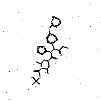 CC1CN(C(=O)C(c2cccs2)N(C(=O)CCl)c2ccc(Oc3ccccc3)cc2)CC(C)N1C(=O)OC(C)(C)C